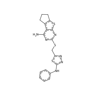 Nc1nc(SCc2nnc(Nc3ccccc3)s2)nc2sc3c(c12)CCC3